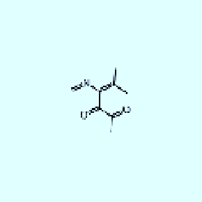 C=NC(C(=O)C(C)=O)=C(C)C